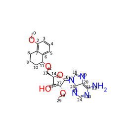 COc1cccc2c1CCCC2OC[C@H]1O[C@@H](n2cnc3c(N)ncnc32)[C@H](OC)[C@@H]1O